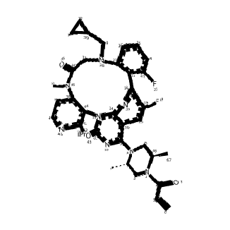 C=CC(=O)N1C[C@H](C)N(c2nc(=O)n3c4nc(c(F)cc24)-c2c(F)cccc2N(CC2CC2)CC(=O)N(C)c2ccnc(C(C)C)c2-3)C[C@H]1C